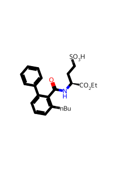 CCCCc1cccc(-c2ccccc2)c1C(=O)N[C@@H](CCS(=O)(=O)O)C(=O)OCC